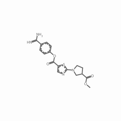 COC(=O)C1CCN(c2ncc(C(=O)Oc3ccc(C(=N)N)cc3)s2)C1